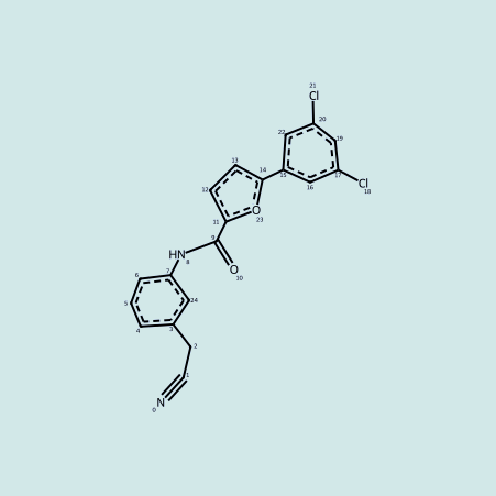 N#CCc1cccc(NC(=O)c2ccc(-c3cc(Cl)cc(Cl)c3)o2)c1